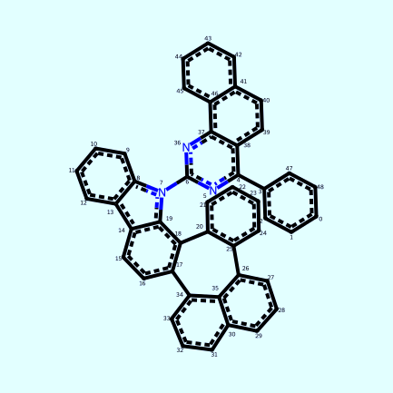 c1ccc(-c2nc(-n3c4ccccc4c4ccc5c(c43)-c3ccccc3-c3cccc4cccc-5c34)nc3c2ccc2ccccc23)cc1